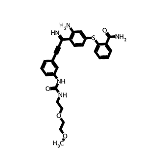 COCCOCCNC(=O)Nc1cccc(C#CC(=N)c2ccc(Sc3ccccc3C(N)=O)cc2N)c1